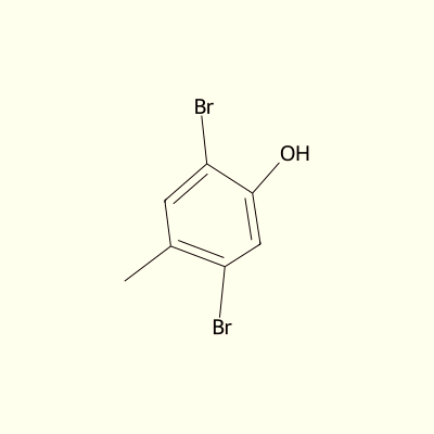 Cc1cc(Br)c(O)cc1Br